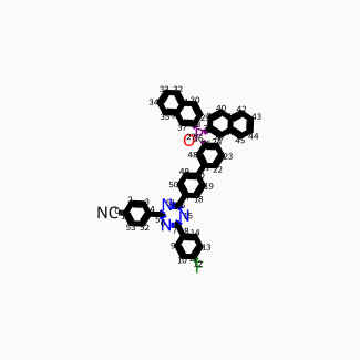 N#Cc1ccc(-c2nc(-c3ccc(F)cc3)nc(-c3ccc(-c4cccc(P(=O)(c5ccc6ccccc6c5)c5ccc6ccccc6c5)c4)cc3)n2)cc1